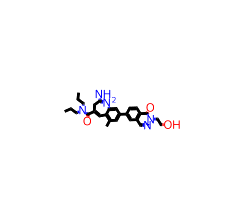 CCCN(CCC)C(=O)C1=Cc2c(C)cc(-c3ccc4c(=O)n(CCO)ncc4c3)cc2N=C(N)C1